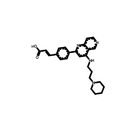 O=C(O)C=Cc1ccc(-c2cc(NCCCN3CCCCC3)c3cnccc3n2)cc1